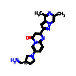 Cc1cn2nc(-c3cc(=O)n4cc(N5CC[C@@H](CN)C5)ccc4n3)cc2c(C)n1